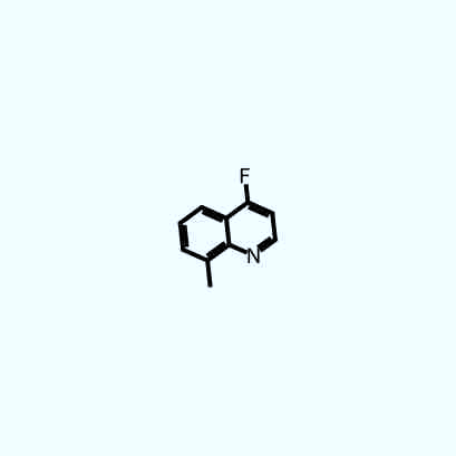 Cc1cccc2c(F)ccnc12